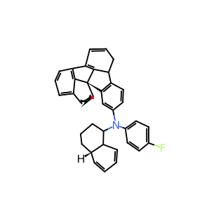 Fc1ccc(N(c2ccc3c(c2)[C@]24C5=C(C=CCC53)c3cccc(c32)-c2ccccc24)C2CCC[C@H]3C=CC=CC23)cc1